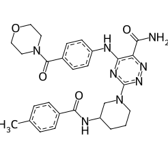 Cc1ccc(C(=O)NC2CCCN(c3nnc(C(N)=O)c(Nc4ccc(C(=O)N5CCOCC5)cc4)n3)C2)cc1